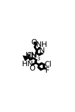 CC1(c2[nH]c(=O)c(-c3ccc(F)c(Cl)c3)cc2Nc2ccnc3c2CC(=O)N3)CC1